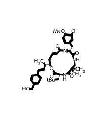 COc1ccc(C[C@H]2NC(=O)/C=C/C[C@@H](C(C)/C=C/c3ccc(CO)cc3)OC(=O)[C@H](CC(C)(C)C)NC(=O)C(C)(C)CNC2=O)cc1Cl